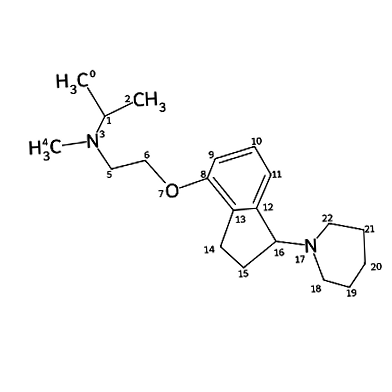 CC(C)N(C)CCOc1cccc2c1CCC2N1CCCCC1